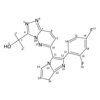 CC(C)(O)c1nnc2ccc(-c3c(-c4ccc(F)cc4F)nc4n3C=CC4)nn12